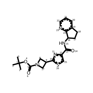 CC(C)(C)OC(=O)N1CC(c2nc(C(=O)NC3CCc4cccnc43)cs2)C1